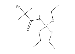 CCO[Si](NC(=O)C(C)(C)Br)(OCC)OCC